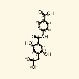 O=C(O)Cc1cc(O)c(C(=O)Nc2ccc(C(=O)O)cn2)cc1O